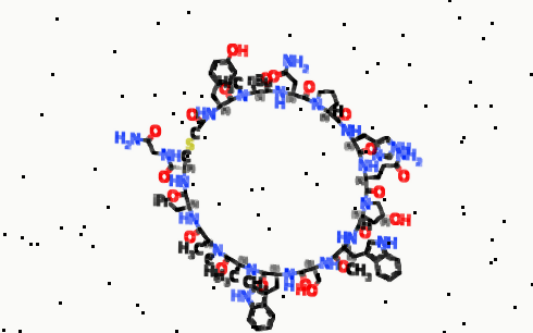 CCCC[C@H]1C(=O)N[C@@H](CC(N)=O)C(=O)N2CCC[C@H]2C(=O)N[C@@H](Cc2c[nH]cn2)C(=O)N[C@@H](CCC(N)=O)C(=O)N2C[C@H](O)C[C@H]2C(=O)N[C@@H]([C@@H](C)c2c[nH]c3ccccc23)C(=O)N[C@@H](CO)C(=O)N[C@@H](Cc2c[nH]c3ccccc23)C(=O)N(C)[C@@H](C)C(=O)N(C)[C@@H](C)C(=O)N[C@@H](CC(C)C)C(=O)N[C@H](C(=O)NCC(N)=O)CSCC(=O)N[C@@H](Cc2ccc(O)cc2)C(=O)N1C